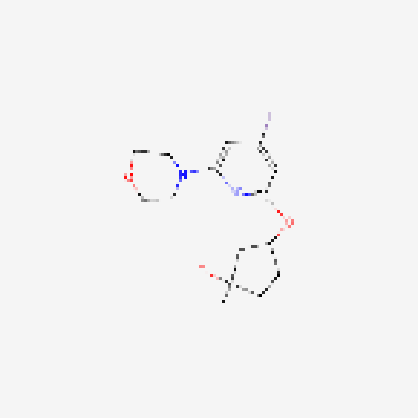 CC1(O)CCC(Oc2cc(I)cc(N3CCOCC3)n2)C1